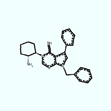 N=c1c2c(-c3ccccc3)cn(Cc3ccccc3)c2ncn1[C@@H]1CCCC[C@H]1N